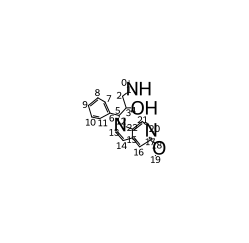 CNCC(O)C(c1ccccc1)n1ccc2cc(OC)ncc21